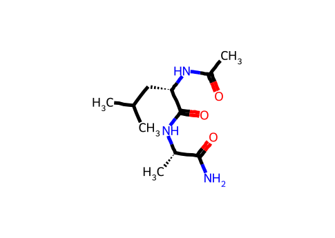 CC(=O)N[C@@H](CC(C)C)C(=O)N[C@@H](C)C(N)=O